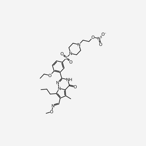 CCCc1c(C=NOC)c(C)c2c(=O)[nH]c(-c3cc(S(=O)(=O)N4CCN(CCO[N+](=O)[O-])CC4)ccc3OCC)nn12